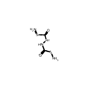 NSC(=O)NNC(=O)SN